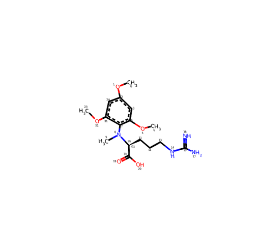 COc1cc(OC)c(N(C)[C@@H](CCCNC(=N)N)C(=O)O)c(OC)c1